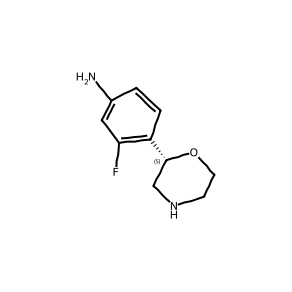 Nc1ccc([C@H]2CNCCO2)c(F)c1